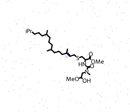 COC(=O)C(CSC/C=C(\C)CCCC(C)CCCC(C)CCCC(C)C)NC(=O)N(C)CC(O)OC